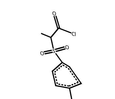 CC(C(=O)Cl)S(=O)(=O)c1ccc(F)cc1